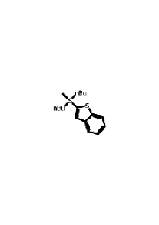 CCCCS(C)(CCCC)c1cc2ccccc2s1